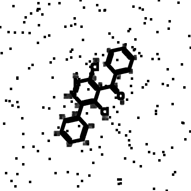 O=C(c1ccccc1)c1c(Cl)nnc(-c2ccccc2)c1Cl